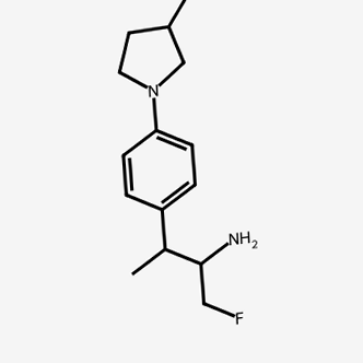 CC(c1ccc(N2CCC(F)C2)cc1)C(N)CF